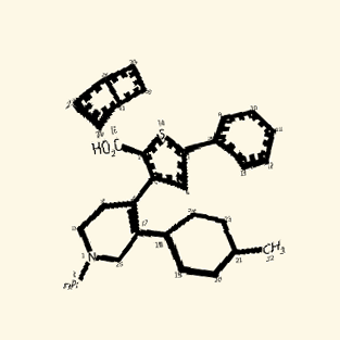 CCCN1CCC(c2cc(-c3ccccc3)sc2C(=O)O)=C(C2CCC(C)CC2)C1.c1cc2ccc1-2